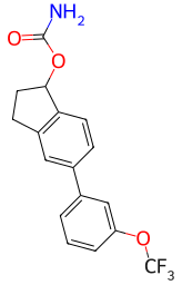 NC(=O)OC1CCc2cc(-c3cccc(OC(F)(F)F)c3)ccc21